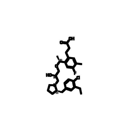 CCc1cc(C[C@@H]2CCCN2C[C@@H](O)CO[C@H](C)c2cc(F)c(C)cc2CCC(=O)O)ccc1Cl